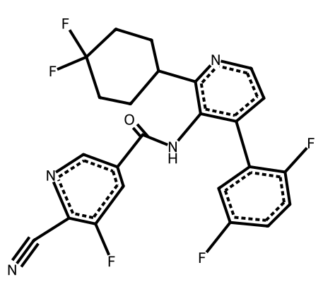 N#Cc1ncc(C(=O)Nc2c(-c3cc(F)ccc3F)ccnc2C2CCC(F)(F)CC2)cc1F